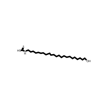 OCCCCCCCCCCCCCCCCCCCCCCCNC(=S)S